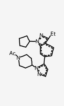 CCc1nn(C2CCCC2)c2cc(-c3ccnn3C3CCN(C(C)=O)CC3)ccc12